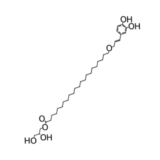 O=C(CCCCCCCCCCCCCCCCCCCCCOCC=Cc1ccc(O)c(O)c1)OCC(O)CO